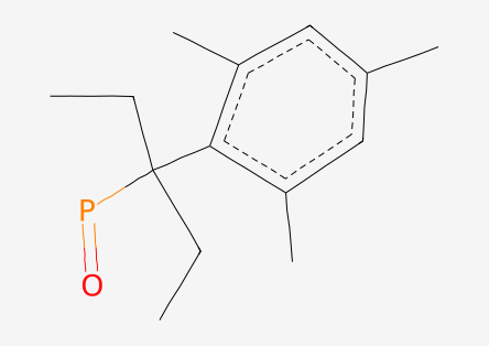 CCC(CC)(P=O)c1c(C)cc(C)cc1C